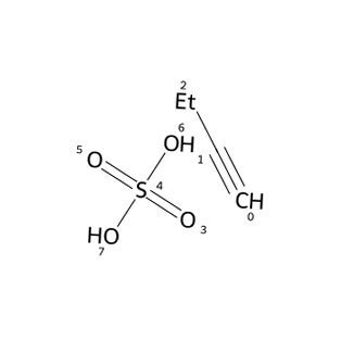 C#CCC.O=S(=O)(O)O